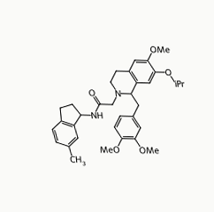 COc1ccc(CC2c3cc(OC(C)C)c(OC)cc3CCN2CC(=O)NC2CCc3ccc(C)cc32)cc1OC